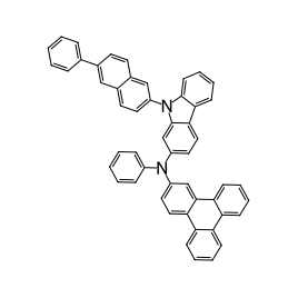 c1ccc(-c2ccc3cc(-n4c5ccccc5c5ccc(N(c6ccccc6)c6ccc7c8ccccc8c8ccccc8c7c6)cc54)ccc3c2)cc1